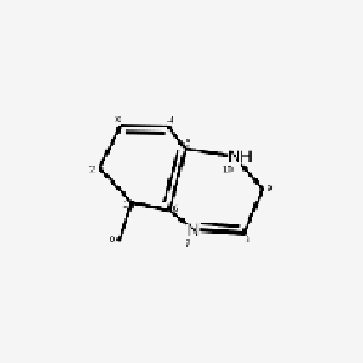 CC1CC=CC2=C1N=CCN2